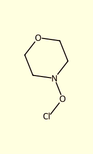 ClON1CCOCC1